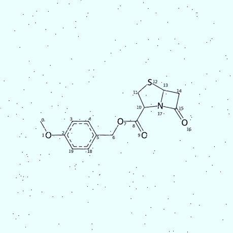 COc1ccc(COC(=O)C2CSC3CC(=O)N32)cc1